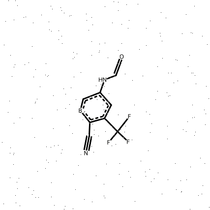 N#Cc1bcc(NC=O)cc1C(F)(F)F